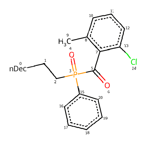 CCCCCCCCCCCCP(=O)(C(=O)c1c(C)cccc1Cl)c1ccccc1